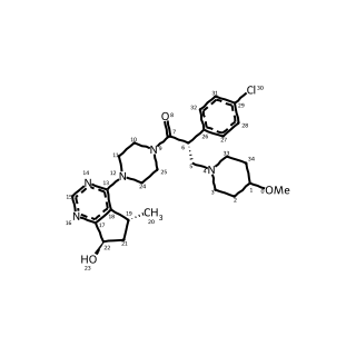 COC1CCN(C[C@H](C(=O)N2CCN(c3ncnc4c3[C@H](C)C[C@H]4O)CC2)c2ccc(Cl)cc2)CC1